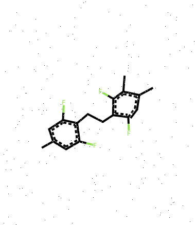 Cc1cc(F)c(CCc2c(F)cc(C)c(C)c2F)c(F)c1